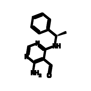 C[C@H](Nc1ncnc(N)c1C=O)c1ccccc1